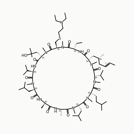 C/C=C/C[C@@H](C)C[C@H]1C(=O)N[C@@H](CC)C(=O)N(C)[C@H](CSCCN(CC)CC)C(=O)N(C)[C@@H](CC(C)(C)O)C(=O)N[C@H](C(C)C)C(=O)N(C)[C@H](CC(C)C)C(=O)N[C@H](C)C(=O)N[C@@H](C)C(=O)N(C)[C@@H](CC(C)C)C(=O)N(C)[C@@H](CCC(C)C)C(=O)N(C)[C@@H](C(C)C)C(=O)N1C